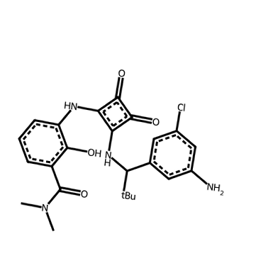 CN(C)C(=O)c1cccc(Nc2c(NC(c3cc(N)cc(Cl)c3)C(C)(C)C)c(=O)c2=O)c1O